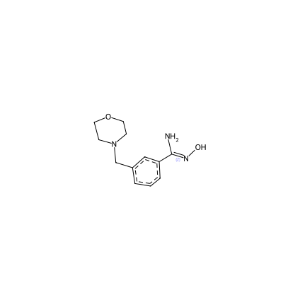 N/C(=N\O)c1cccc(CN2CCOCC2)c1